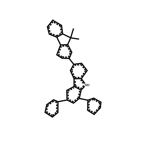 CC1(C)c2ccccc2-c2ccc(-c3ccc4[nH]c5c(-c6ccccc6)cc(-c6ccccc6)cc5c4c3)cc21